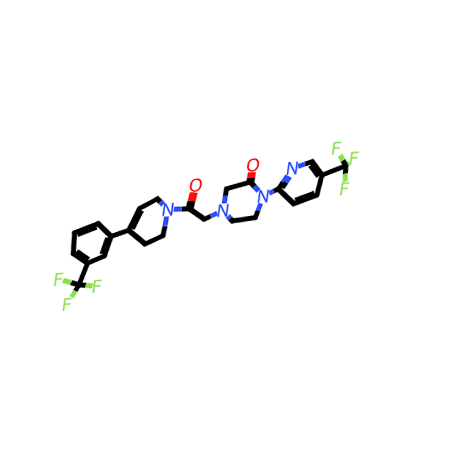 O=C(CN1CCN(c2ccc(C(F)(F)F)cn2)C(=O)C1)N1CC=C(c2cccc(C(F)(F)F)c2)CC1